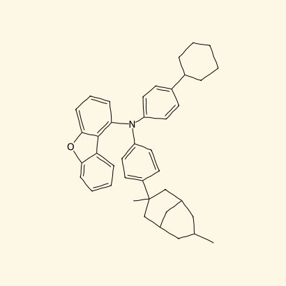 CC1CC2CC(C1)CC(C)(c1ccc(N(c3ccc(C4CCCCC4)cc3)c3cccc4oc5ccccc5c34)cc1)C2